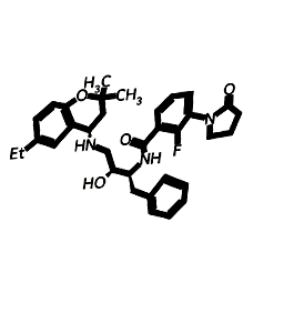 CCc1ccc2c(c1)[C@@H](NC[C@H](O)[C@H](Cc1ccccc1)NC(=O)c1cccc(N3CCCC3=O)c1F)CC(C)(C)O2